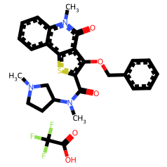 CN1CCC(N(C)C(=O)c2sc3c(c2OCc2ccccc2)c(=O)n(C)c2ccccc32)C1.O=C(O)C(F)(F)F